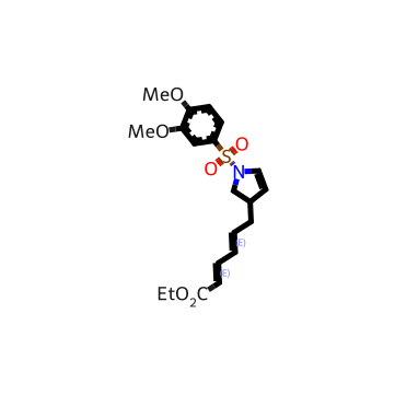 CCOC(=O)/C=C/C=C/CC1C=CN(S(=O)(=O)c2ccc(OC)c(OC)c2)C1